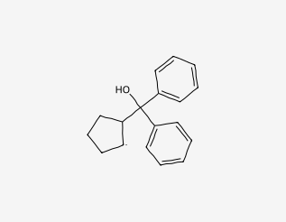 OC(c1ccccc1)(c1ccccc1)C1[CH]CCC1